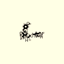 CNCc1cc(COC[C@H](C)Nc2cnn(Cc3ccc(OC)cc3)c(=O)c2C(F)(F)F)n[nH]1